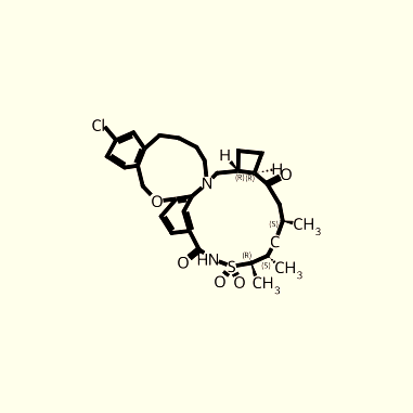 C[C@@H]1CC(=O)[C@@H]2CC[C@H]2CN2CCCCc3cc(Cl)ccc3COc3ccc(cc32)C(=O)NS(=O)(=O)[C@H](C)[C@@H](C)C1